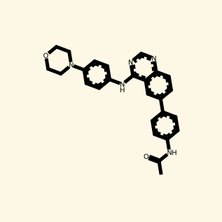 CC(=O)Nc1ccc(-c2ccc3ncnc(Nc4ccc(N5CCOCC5)cc4)c3c2)cc1